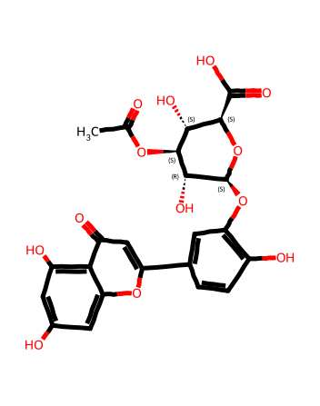 CC(=O)O[C@@H]1[C@@H](O)[C@H](Oc2cc(-c3cc(=O)c4c(O)cc(O)cc4o3)ccc2O)O[C@H](C(=O)O)[C@H]1O